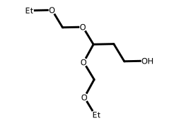 CCOCOC(CCO)OCOCC